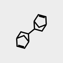 C1=CC2CC1CC2C1CC2C=CC1C2